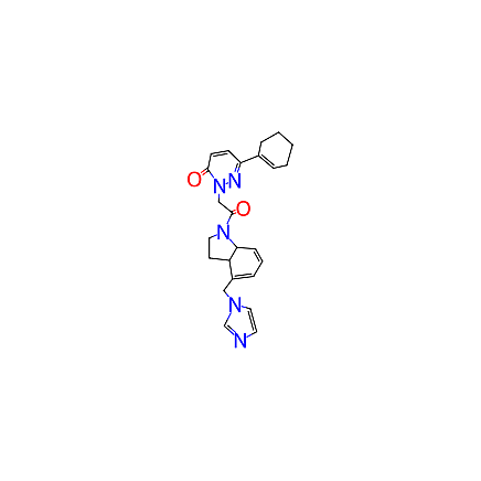 O=C(Cn1nc(C2=CCCCC2)ccc1=O)N1CCC2C(Cn3ccnc3)=CC=CC21